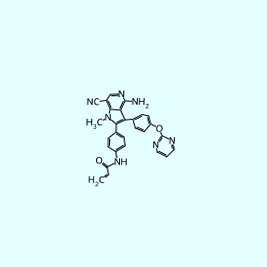 C=CC(=O)Nc1ccc(-c2c(-c3ccc(Oc4ncccn4)cc3)c3c(N)ncc(C#N)c3n2C)cc1